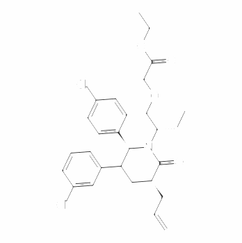 C=CC[C@H]1CC(c2cccc(Cl)c2)[C@@H](c2ccc(Cl)cc2)N([C@@H](CC)COCC(=O)OCC)C1=O